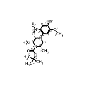 COc1cc(N2C[C@@H](C)N(C(=O)OC(C)(C)C)[C@@H](C)C2)c([N+](=O)[O-])cc1Br